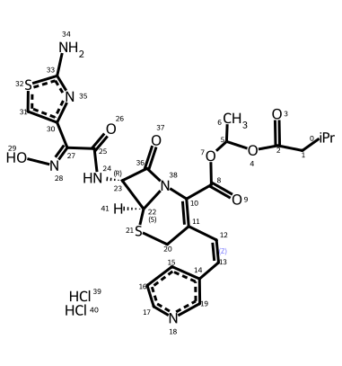 CC(C)CC(=O)OC(C)OC(=O)C1=C(/C=C\c2cccnc2)CS[C@H]2[C@H](NC(=O)C(=NO)c3csc(N)n3)C(=O)N12.Cl.Cl